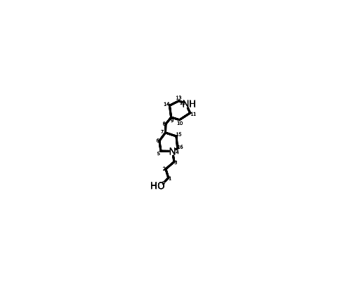 OCCCN1CCC(CC2CCNCC2)CC1